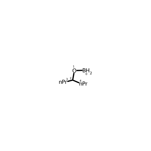 BOC(CCC)CCC